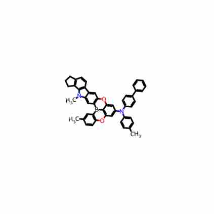 Cc1ccc(N(c2ccc(-c3ccccc3)cc2)c2cc3c4c(c2)Oc2cc5c6ccc7c(c6n(C)c5cc2B4c2cc(C)ccc2O3)CCC7)cc1